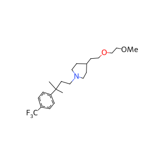 COCCOCCC1CCN(CCC(C)(C)c2ccc(C(F)(F)F)cc2)CC1